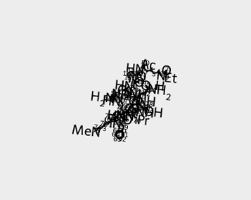 CCC(=O)NCCCCC(NC(=O)[C@@H]1CCCN1C(=O)C(C)NC(=O)[C@H](CC(C)C)NC(=O)C(CCC(N)=O)NC(=O)[C@@H](NC(=O)C(NC(=O)[C@H](CCCNC(=N)N)NC(=O)C(Cc1ccccc1)NC(=O)C(C)CCCCNC)C(C)C)[C@@H](C)O)C(C)=O